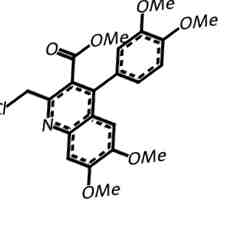 COC(=O)c1c(CCl)nc2cc(OC)c(OC)cc2c1-c1ccc(OC)c(OC)c1